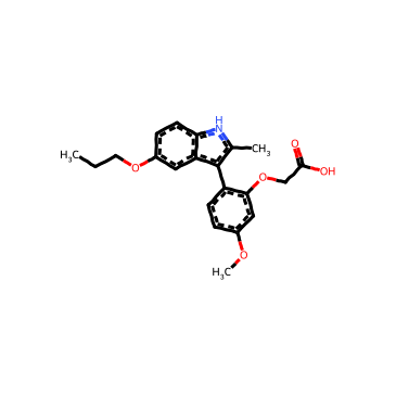 CCCOc1ccc2[nH]c(C)c(-c3ccc(OC)cc3OCC(=O)O)c2c1